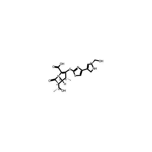 C[C@@H](O)[C@H]1C(=O)N2C(C(=O)O)=C(Sc3nc(C4=C[C@@H](CO)NC4)cs3)[C@H](C)[C@H]12